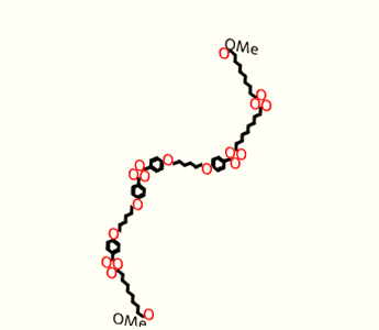 COC(=O)CCCCCCCCC(=O)OC(=O)CCCCCCCCC(=O)OC(=O)c1ccc(OCCCCCCOc2ccc(C(=O)OC(=O)c3ccc(OCCCCCCOc4ccc(C(=O)OC(=O)CCCCCCCCC(=O)OC)cc4)cc3)cc2)cc1